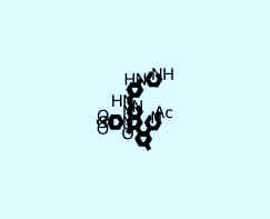 CC(=O)N1CCC(c2cc(C)ccc2-c2cc3cnc(Nc4ccc(NC5CCCNC5)cc4)nc3n(C3CCN(S(C)(=O)=O)CC3)c2=O)CC1